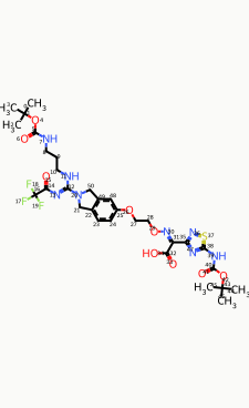 CC(C)(C)OC(=O)NCCCN/C(=N\C(=O)C(F)(F)F)N1Cc2ccc(OCCO/N=C(\C(=O)O)c3nsc(NC(=O)OC(C)(C)C)n3)cc2C1